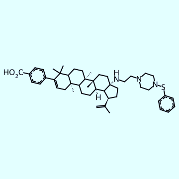 C=C(C)[C@@H]1CC[C@]2(NCCN3CCN(Sc4ccccc4)CC3)CC[C@]3(C)[C@H](CCC4[C@@]5(C)CC=C(c6ccc(C(=O)O)cc6)C(C)(C)C5CC[C@]43C)C12